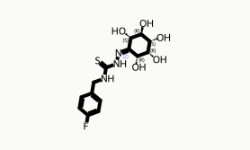 O[C@@H]1[C@H](O)[C@H](O)/C(=N\NC(=S)NCc2ccc(F)cc2)[C@H](O)[C@H]1O